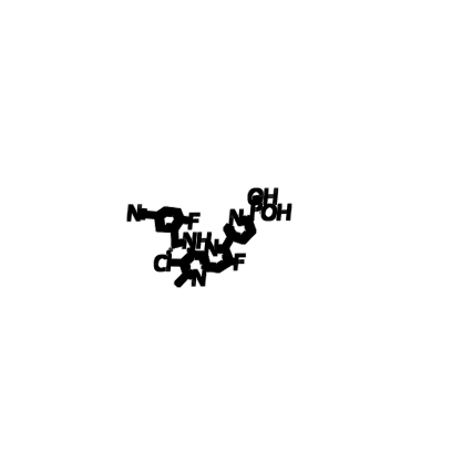 Cc1nc2cc(F)c(-c3ccc(P(O)O)nc3)nc2c(N[C@H](C)c2cc(C#N)ccc2F)c1Cl